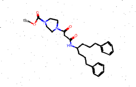 CC(C)(C)OC(=O)N1CCN(C(=O)CC(=O)NC(CCCc2ccccc2)CCCc2ccccc2)CC1